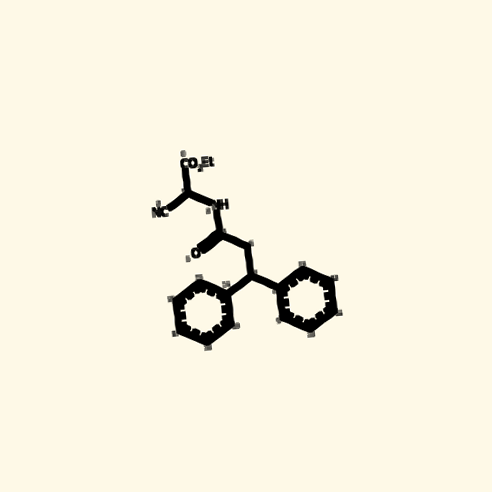 CCOC(=O)C(C#N)NC(=O)CC(c1ccccc1)c1ccccc1